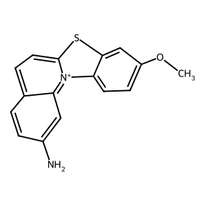 COc1ccc2c(c1)sc1ccc3ccc(N)cc3[n+]12